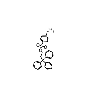 Cc1ccc(S(=O)(=O)OCCC(c2ccccc2)(c2ccccc2)c2ccccc2)cc1